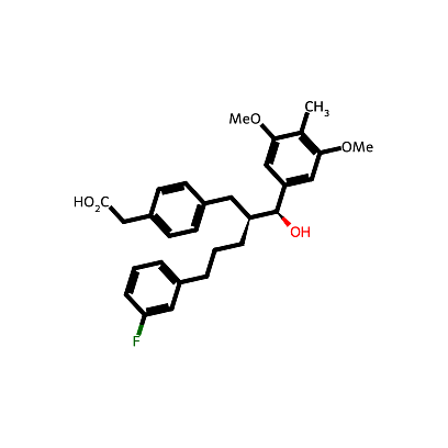 COc1cc([C@@H](O)[C@@H](CCCc2cccc(F)c2)Cc2ccc(CC(=O)O)cc2)cc(OC)c1C